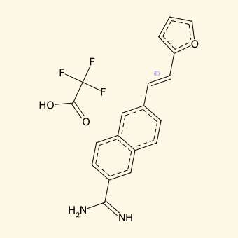 N=C(N)c1ccc2cc(/C=C/c3ccco3)ccc2c1.O=C(O)C(F)(F)F